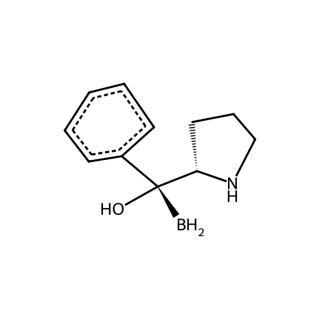 B[C@@](O)(c1ccccc1)[C@@H]1CCCN1